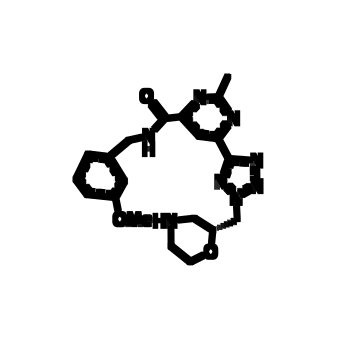 COc1cccc(CNC(=O)c2cc(-c3nnn(C[C@H]4CNCCO4)n3)nc(C)n2)c1